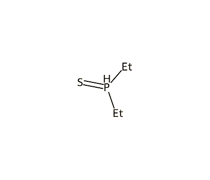 CC[PH](=S)CC